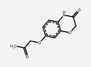 CC(=O)COc1ccc2c(c1)OCC(=O)N2